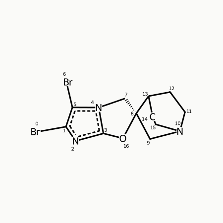 Brc1nc2n(c1Br)C[C@]1(CN3CCC1CC3)O2